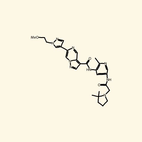 COCCn1cc(-c2cn3ncc(C(=O)Nc4cc(NC(=O)CN5CCCC5(C)C)cnc4C)c3cn2)cn1